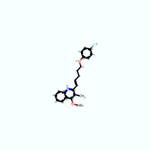 CCCCOc1c(C)c(C=CCCCOc2ccc(F)cc2)nc2ccccc12